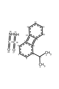 CC(C)c1cccc2c1=c1ccccc1=2.N=C=O.N=C=O